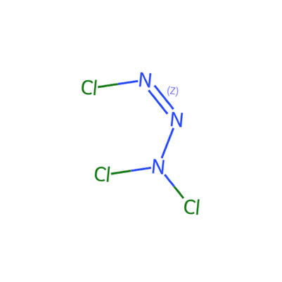 Cl/N=N\N(Cl)Cl